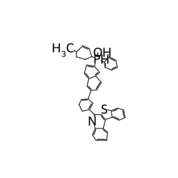 C[C@H]1C=CC([PH](O)(c2ccccc2)c2ccc3cc(C4=CCCC(c5nc6ccccc6c6c5sc5ccccc56)=C4)ccc3c2)CC1